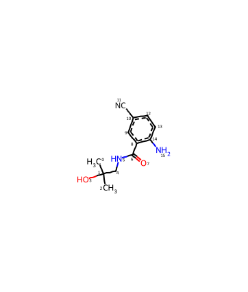 CC(C)(O)CNC(=O)c1cc(C#N)ccc1N